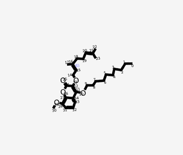 CCCCCCCCCCOc1c(OC/C=C(\C)CCC=C(C)C)c(=O)oc2c(OC)cccc12